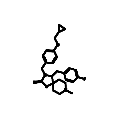 CN1CCC2(CC1)OC(=O)N(Cc1ccc(OCC3CC3)cc1)C2Cc1ccc(F)cc1